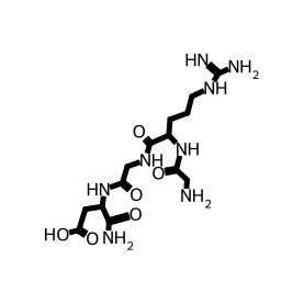 N=C(N)NCCCC(NC(=O)CN)C(=O)NCC(=O)NC(CC(=O)O)C(N)=O